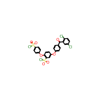 O=C(c1ccc(Oc2ccc(Oc3ccc(S(=O)(=O)Cl)cc3)c(S(=O)(=O)Cl)c2)cc1)c1cc(Cl)ccc1Cl